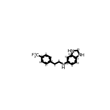 FC(F)(F)c1ccc(CCNc2ccc3c(c2)N[CH]N3)cc1